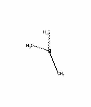 CCCCCCCCCCCCCCCCCCN1C=CN(CCCCCCCCCCCCC)C1CCCCCCCCCCCCC